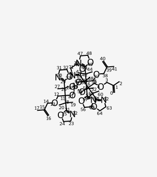 C=C(C)COCC(OP(=O)(OC(COCC(=C)C)(C(C)(C)C1=NCCO1)C(C)(C)C1=NCCO1)OC(COCC(=C)C)(C(C)(C)C1=NCCO1)C(C)(C)C1=NCCO1)(C(C)(C)C1=NCCO1)C(C)(C)C1=NCCO1